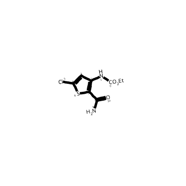 CCOC(=O)Nc1cc(Cl)sc1C(N)=O